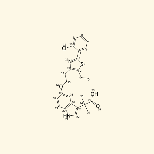 CCc1sc(-c2ccccc2Cl)nc1CCOc1ccc2[nH]cc(C(C)(C)C(=O)O)c2c1